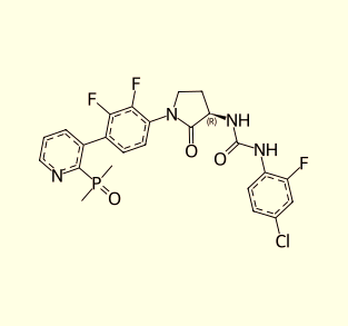 CP(C)(=O)c1ncccc1-c1ccc(N2CC[C@@H](NC(=O)Nc3ccc(Cl)cc3F)C2=O)c(F)c1F